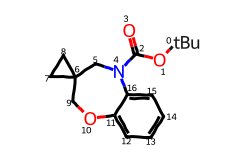 CC(C)(C)OC(=O)N1CC2(CC2)COc2ccccc21